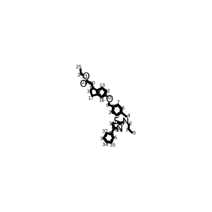 CCCN(Cc1ccc(COc2ccc3c(c2)CCC3CC(=O)OCC)cc1)c1nc(-c2ccccc2)cs1